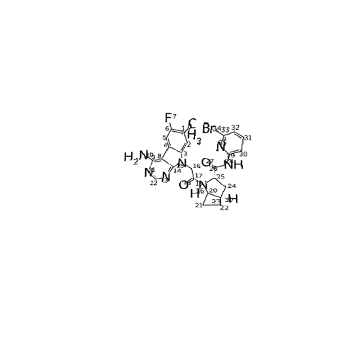 Cc1cc2c(cc1F)c1c(N)ncnc1n2CC(=O)N1[C@@H]2CC[C@@H]2C[C@H]1C(=O)Nc1cccc(Br)n1